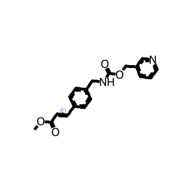 COC(=O)/C=C/c1ccc(CNC(=O)OCc2cccnc2)cc1